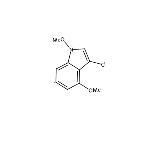 COc1c[c]cc2c1c(Cl)cn2OC